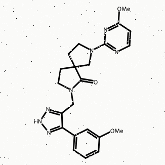 COc1cccc(-c2n[nH]nc2CN2CCC3(CCN(c4nccc(OC)n4)C3)C2=O)c1